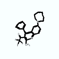 Cc1nc2ccc(N3CCCCCC3)cc2c(-c2ccccc2)c1C(=O)C(F)(F)F